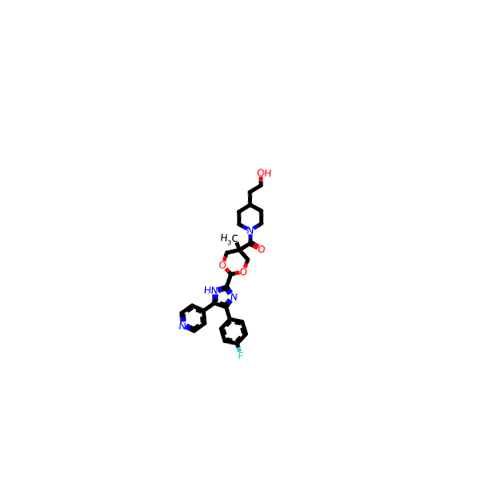 CC1(C(=O)N2CCC(CCO)CC2)COC(c2nc(-c3ccc(F)cc3)c(-c3ccncc3)[nH]2)OC1